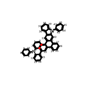 c1ccc(N(c2ccccc2)c2ccccc2-c2ccc3c(c2)c2ccccc2c2cc4c(cc32)c2ccccc2n4-c2ccccc2)cc1